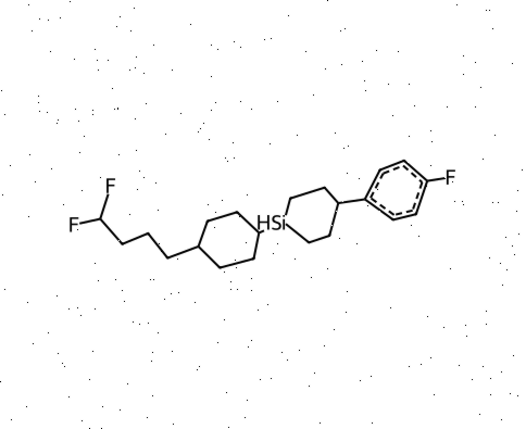 Fc1ccc(C2CC[SiH](C3CCC(CCCC(F)F)CC3)CC2)cc1